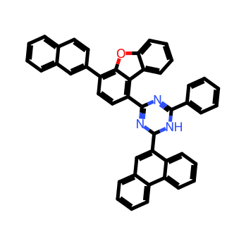 c1ccc(C2=NC(c3ccc(-c4ccc5ccccc5c4)c4oc5ccccc5c34)=NC(c3cc4ccccc4c4ccccc34)N2)cc1